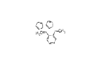 C1=CCC=C1.C1=CCC=C1.C=Cc1ccccc1C=C